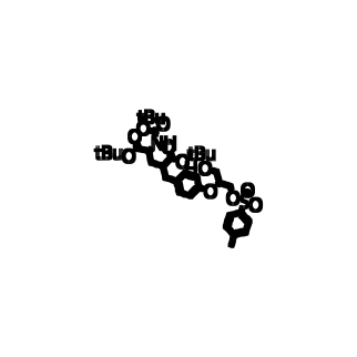 Cc1ccc(S(=O)(=O)OCC(CO)Oc2ccc(CC(CC(NC(=O)OC(C)(C)C)C(=O)OC(C)(C)C)C(=O)OC(C)(C)C)cc2)cc1